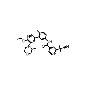 CCOc1nnc(-c2cc(NC(=O)c3ccnc(C(C)(C)C#N)c3)ccc2C)cc1N1CCOCC1C